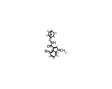 Cn1cc(C(=O)NCC23CCC(CC2)CC3)c2c(Br)cccc21